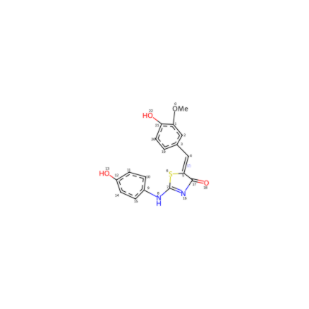 COc1cc(/C=C2\SC(Nc3ccc(O)cc3)=NC2=O)ccc1O